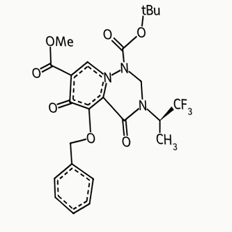 COC(=O)c1cn2c(c(OCc3ccccc3)c1=O)C(=O)N([C@H](C)C(F)(F)F)CN2C(=O)OC(C)(C)C